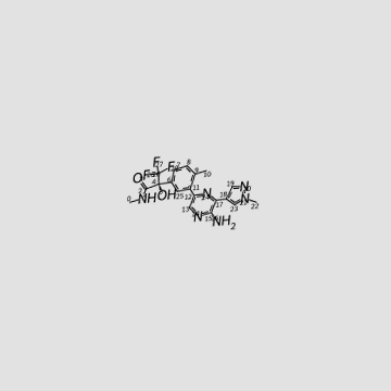 CNC(=O)[C@@](O)(c1ccc(C)c(-c2cnc(N)c(-c3cnn(C)c3)n2)c1)C(F)(F)F